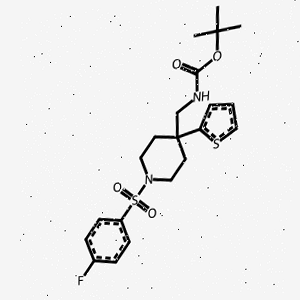 CC(C)(C)OC(=O)NCC1(c2cccs2)CCN(S(=O)(=O)c2ccc(F)cc2)CC1